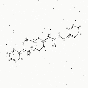 C[C@H](N[C@H]1CC[C@H](NC(=O)OCc2ccccc2)C[C@@H]1O)c1ccccc1